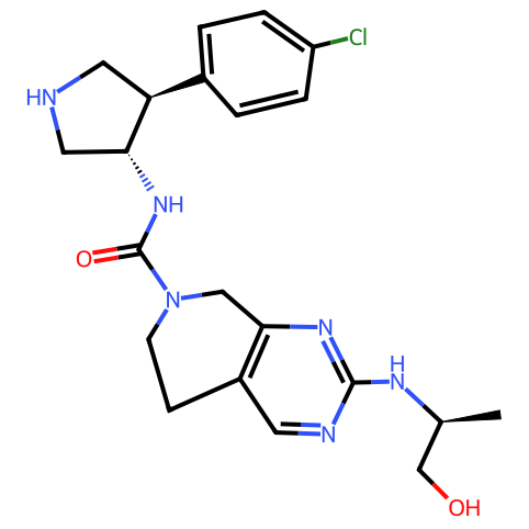 C[C@@H](CO)Nc1ncc2c(n1)CN(C(=O)N[C@@H]1CNC[C@H]1c1ccc(Cl)cc1)CC2